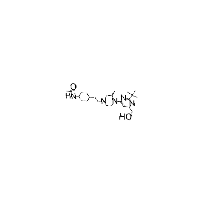 CC(=O)NC1CCC(CCN2CCN(c3cc(CO)nc(C(C)(C)C)n3)C(C)C2)CC1